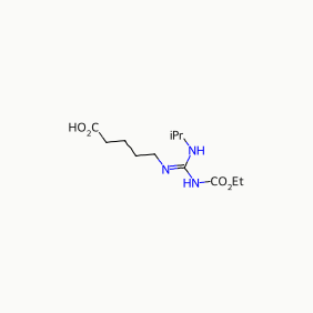 CCOC(=O)NC(=NCCCCC(=O)O)NC(C)C